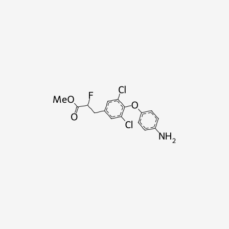 COC(=O)C(F)Cc1cc(Cl)c(Oc2ccc(N)cc2)c(Cl)c1